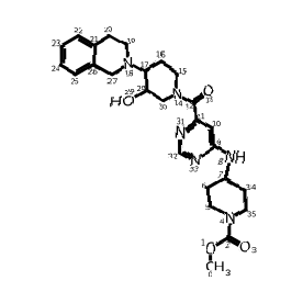 COC(=O)N1CCC(Nc2cc(C(=O)N3CCC(N4CCc5ccccc5C4)C(O)C3)ncn2)CC1